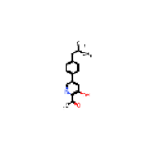 CC(=O)c1ncc(-c2ccc(CC(C)C)cc2)cc1O